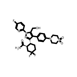 NC(=O)[C@@H]1CC(F)(F)CC[C@H]1c1nn(-c2ccc(F)cn2)c(CO)c1-c1ccc(N2CCS(=O)(=O)CC2)cc1